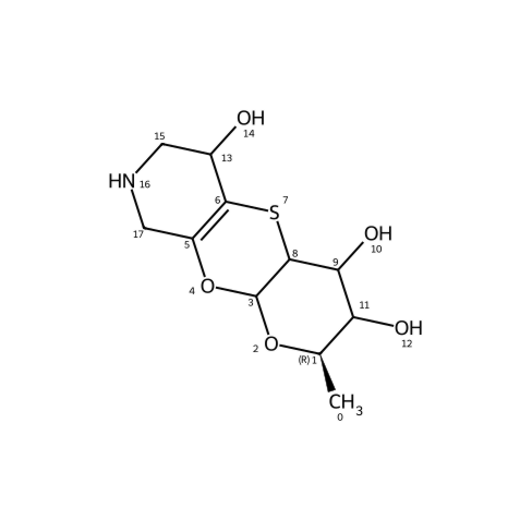 C[C@H]1OC2OC3=C(SC2C(O)C1O)C(O)CNC3